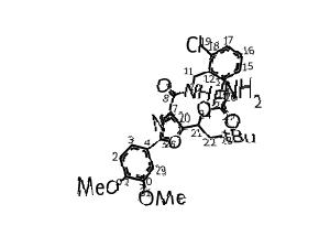 COc1ccc(-c2nc(C(=O)NCc3c(F)cccc3Cl)c(C(CC(C)(C)C)OC(N)=O)o2)cc1OC